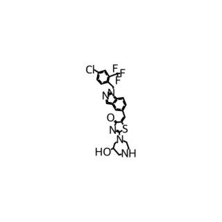 O=C1N=C(N2CCNCC(O)C2)SC1=Cc1ccc2c(cnn2Cc2ccc(Cl)cc2C(F)(F)F)c1